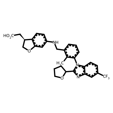 Cc1c(CNc2ccc3c(c2)OC[C@H]3CC(=O)O)cccc1-n1c(C2CCCO2)nc2cc(C(F)(F)F)ccc21